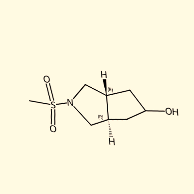 CS(=O)(=O)N1C[C@@H]2CC(O)C[C@H]2C1